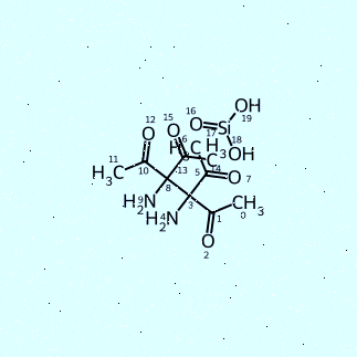 CC(=O)C(N)(C(C)=O)C(N)(C(C)=O)C(C)=O.O=[Si](O)O